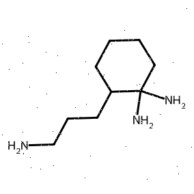 NCCCC1CCCCC1(N)N